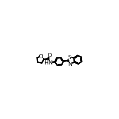 O=C(Nc1ccc(-c2nc3ccccc3s2)cc1)C1CCCO1